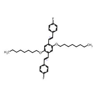 CCCCCCCCOc1cc(/C=C/c2ccc(F)cc2)c(OCCCCCCCC)cc1/C=C/c1ccc(F)cc1